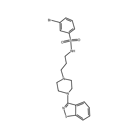 O=S(=O)(NCCCN1CCN(c2nsc3ccccc23)CC1)c1cccc(Br)c1